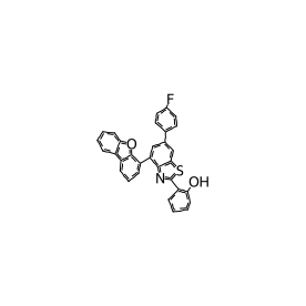 Oc1ccccc1-c1nc2c(-c3cccc4c3oc3ccccc34)cc(-c3ccc(F)cc3)cc2s1